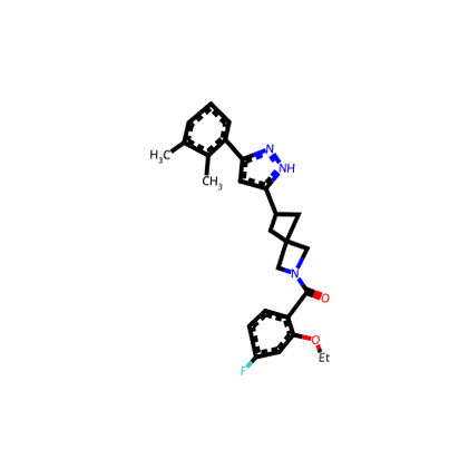 CCOc1cc(F)ccc1C(=O)N1CC2(CC(c3cc(-c4cccc(C)c4C)n[nH]3)C2)C1